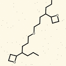 CCCC(CCCOCCCC(CCC)C1CCO1)C1CCO1